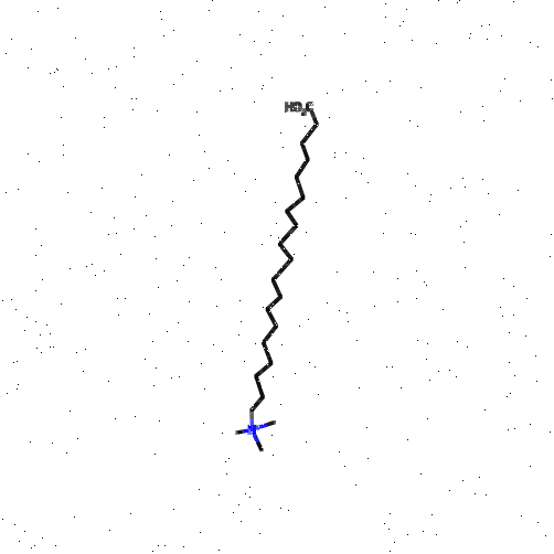 C[N+](C)(C)CCCCCCCCCCCCCCCCCCC(=O)O